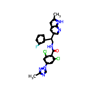 Cc1ncn(-c2cc(Cl)c(C(=O)NCC(c3cccc(F)c3)c3cnc4[nH]c(C)cc4c3)c(Cl)c2)n1